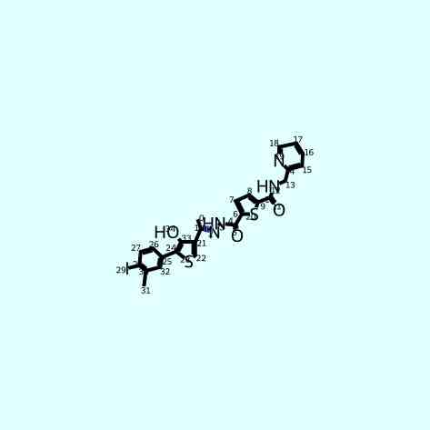 C/C(=N\NC(=O)c1ccc(C(=O)NCc2ccccn2)s1)c1csc(-c2ccc(I)c(C)c2)c1O